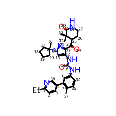 CCc1ccc(-c2cc(NC(=O)Nc3cn(C4(C)CCCC4)nc3C(=O)C3CCNC(=O)C3(C)C)ccc2C)cn1